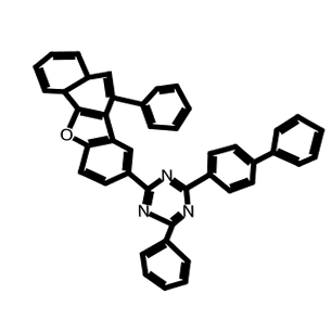 C1=CC2C=C(c3ccccc3)c3c(oc4ccc(-c5nc(-c6ccccc6)nc(-c6ccc(-c7ccccc7)cc6)n5)cc34)C2C=C1